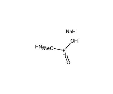 CO[PH](=O)O.[NaH].[NaH]